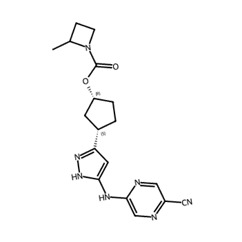 CC1CCN1C(=O)O[C@@H]1CC[C@H](c2cc(Nc3cnc(C#N)cn3)[nH]n2)C1